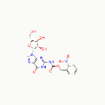 O=C(Nc1nc2c(ncn2[C@@H]2O[C@H](CO)[C@@H](O)[C@H]2O)c(=O)[nH]1)OCc1ccccc1[N+](=O)[O-]